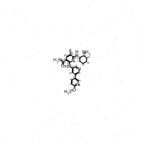 COc1ccc(-c2cncc(Nc3nc(N[C@H]4CCCC[C@H]4N)c(F)cc3C(N)=O)c2)cn1